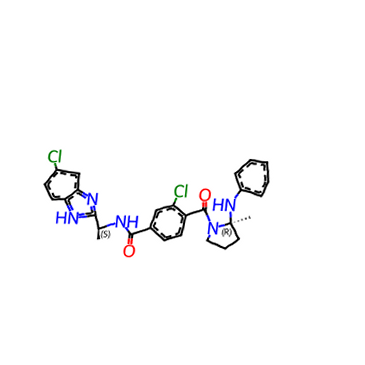 C[C@H](NC(=O)c1ccc(C(=O)N2CCC[C@]2(C)Nc2ccccc2)c(Cl)c1)c1nc2cc(Cl)ccc2[nH]1